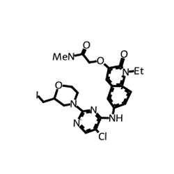 CCn1c(=O)c(OCC(=O)NC)cc2cc(Nc3nc(N4CCOC(CI)C4)ncc3Cl)ccc21